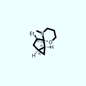 CC[C@@H]1C[C@@H]2C[C@@H]2[C@@]12OCCCN2C